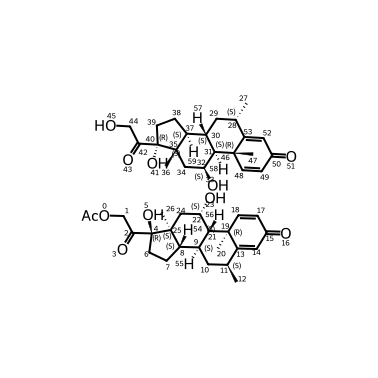 CC(=O)OCC(=O)[C@@]1(O)CC[C@H]2[C@@H]3C[C@H](C)C4=CC(=O)C=C[C@]4(C)[C@H]3[C@@H](O)C[C@@]21C.C[C@H]1C[C@@H]2[C@H]([C@@H](O)C[C@@]3(C)[C@H]2CC[C@]3(O)C(=O)CO)[C@@]2(C)C=CC(=O)C=C12